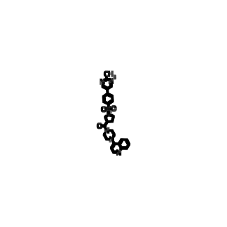 Cc1ncc(-c2ccc(S(=O)(=O)N3CCC(C(=O)N4CCN(c5ccnc6ccccc56)CC4)C3)cc2)cn1